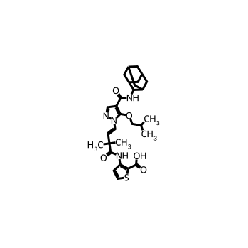 CC(C)COc1c(C(=O)NC2C3CC4CC(C3)CC2C4)cnn1/C=C/C(C)(C)C(=O)Nc1ccsc1C(=O)O